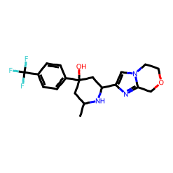 CC1CC(O)(c2ccc(C(F)(F)F)cc2)CC(c2cn3c(n2)COCC3)N1